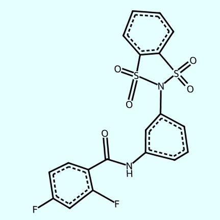 O=C(Nc1cccc(N2S(=O)(=O)c3ccccc3S2(=O)=O)c1)c1ccc(F)cc1F